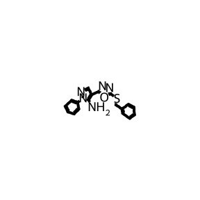 Nc1c(-c2nnc(SCc3ccccc3)o2)cnn1-c1ccccc1